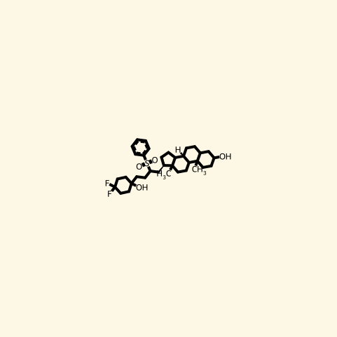 CC12CCC(O)CC1CC[C@@H]1C2CCC2(C)C1CC[C@@H]2CC(CCC1(O)CCC(F)(F)CC1)S(=O)(=O)c1ccccc1